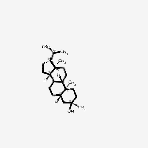 CCCC[C@@H](C)[C@H]1CC[C@H]2C3CC[C@H]4C[C@@](C)(O)CC[C@]4(C)[C@H]3CC[C@]12C